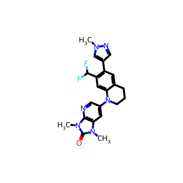 Cn1cc(-c2cc3c(cc2C(F)F)N(c2cnc4c(c2)n(C)c(=O)n4C)CCC3)cn1